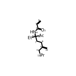 C=CC(=O)NC(CC)(CCC(=C)CC(C)C)C(C)=O